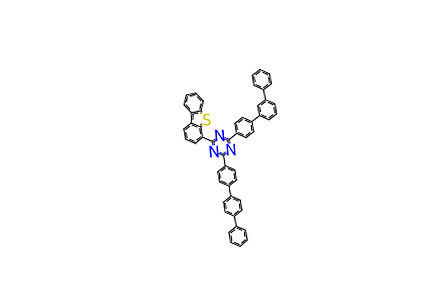 c1ccc(-c2ccc(-c3ccc(-c4nc(-c5ccc(-c6cccc(-c7ccccc7)c6)cc5)nc(-c5cccc6c5sc5ccccc56)n4)cc3)cc2)cc1